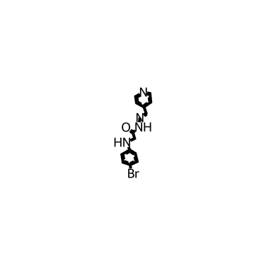 O=C(CNc1ccc(Br)cc1)N/N=C/c1ccncc1